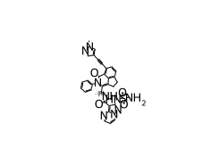 C[C@@H](NC(=O)c1c(NS(N)(=O)=O)nn2cccnc12)c1c2c3c(ccc(C#Cc4cnn(C)c4)c3c(=O)n1-c1ccccc1)CC2